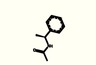 CC(=O)N[C@@H](C)c1cc[c]cc1